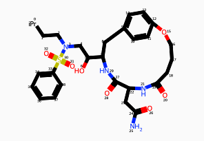 CC(C)CCN(CC(O)C1Cc2ccc(cc2)OCCCC(=O)NC(CC(N)=O)C(=O)N1)S(=O)(=O)c1ccccc1